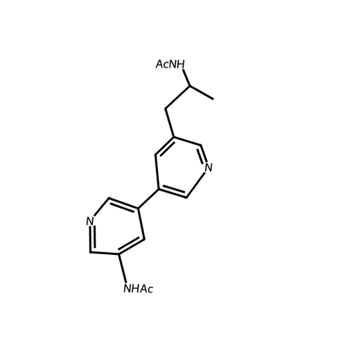 CC(=O)Nc1cncc(-c2cncc(CC(C)NC(C)=O)c2)c1